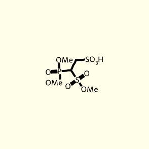 COP(=O)(OC)C(CS(=O)(=O)O)S(=O)(=O)OC